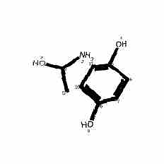 CC(N)O.Oc1ccc(O)cc1